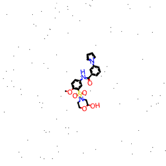 COc1ccc(NC(=O)c2cccc(-n3cccc3)c2)cc1S(=O)(=O)N1CCOC(O)C1